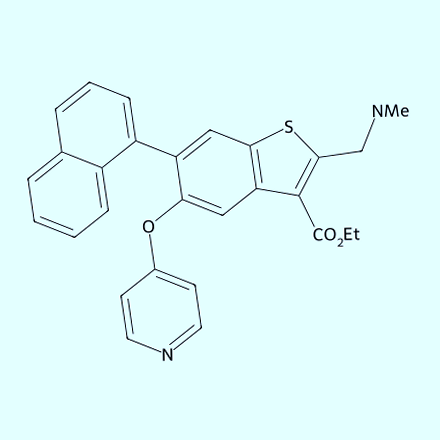 CCOC(=O)c1c(CNC)sc2cc(-c3cccc4ccccc34)c(Oc3ccncc3)cc12